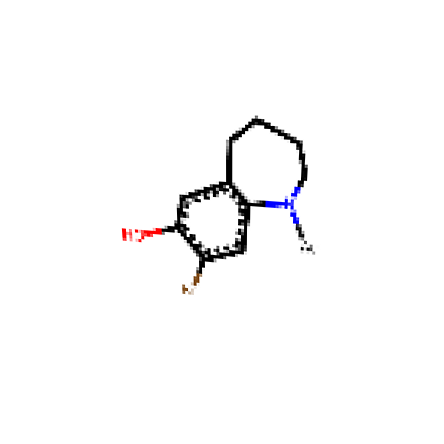 CC(=O)N1CCCCc2cc(O)c(Br)cc21